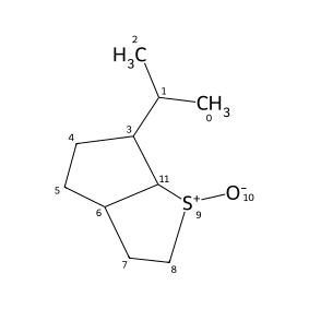 CC(C)C1CCC2CC[S+]([O-])C21